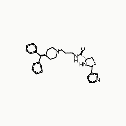 O=C(NCCCN1CCC(=C(c2ccccc2)c2ccccc2)CC1)[C@@H]1CSC(c2cccnc2)N1